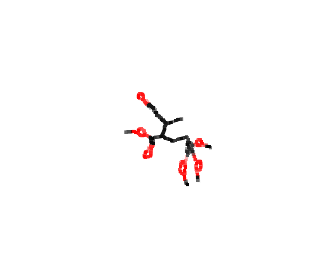 COC(=O)C(CC[Si](OC)(OC)OC)C(C)CC=O